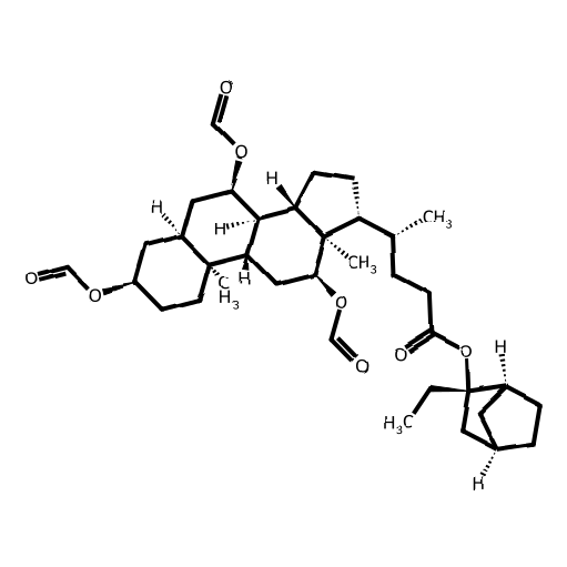 CC[C@]1(OC(=O)CC[C@@H](C)[C@H]2CC[C@H]3[C@@H]4[C@H](OC=O)C[C@@H]5C[C@H](OC=O)CC[C@]5(C)[C@H]4C[C@H](OC=O)[C@]23C)C[C@@H]2CC[C@H]1C2